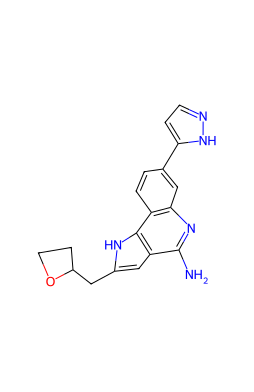 Nc1nc2cc(-c3ccn[nH]3)ccc2c2[nH]c(CC3CCO3)cc12